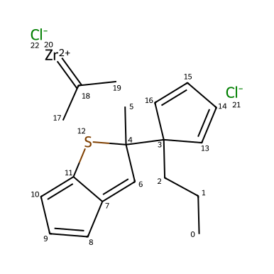 CCCC1(C2(C)C=C3C=CC=C3S2)C=CC=C1.C[C](C)=[Zr+2].[Cl-].[Cl-]